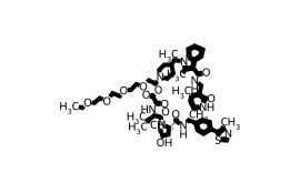 CCOCCOCCOCCOCC(OC(=O)C(=O)N[C@H](C(=O)N1C[C@H](O)C[C@H]1C(=O)NCc1ccc(-c2scnc2C)cc1)C(C)(C)C)N1CCC(C(C)n2c(C)c(C(=O)NCc3c(C)cc(C)[nH]c3=O)c3ccccc32)CC1